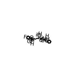 CC(C)C[C@H](NC(=O)C1Cc2ccccc2N1)C(=O)NCCCCNS(=O)(=O)c1ccc(F)cc1Cl